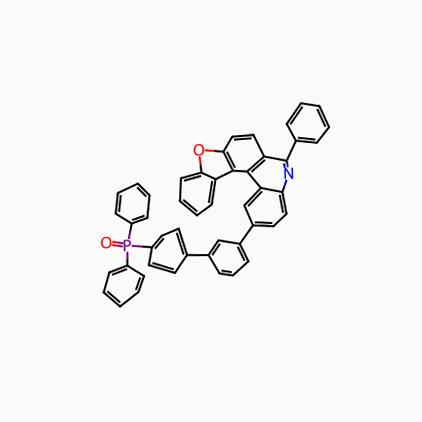 O=P(c1ccccc1)(c1ccccc1)c1ccc(-c2cccc(-c3ccc4nc(-c5ccccc5)c5ccc6oc7ccccc7c6c5c4c3)c2)cc1